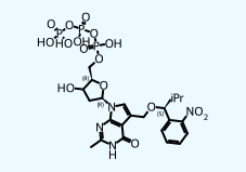 Cc1nc2c(c(CO[C@H](c3ccccc3[N+](=O)[O-])C(C)C)cn2[C@H]2CC(O)[C@@H](COP(=O)(O)OP(=O)(O)OP(=O)(O)O)O2)c(=O)[nH]1